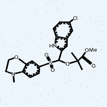 COC(=O)C(C)(C)OC(c1cc2cc(Cl)ccc2[nH]1)S(=O)(=O)c1ccc2c(c1)OCCN2C